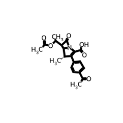 CC(=O)OC(C)C1C(=O)N2C(C(=O)O)=C(c3ccc(C(C)=O)cc3)[C@H](C)C12